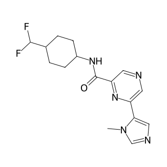 Cn1cncc1-c1cncc(C(=O)NC2CCC(C(F)F)CC2)n1